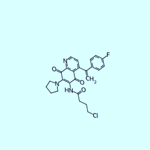 C=C(c1ccc(F)cc1)c1ccnc2c1C(=O)C(NC(=O)CCCCl)=C(N1CCCC1)C2=O